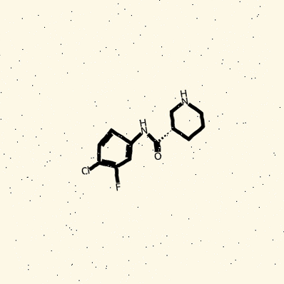 O=C(Nc1ccc(Cl)c(F)c1)[C@H]1CCCNC1